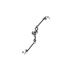 C=CC(=O)CCCCCCCCCCCCOc1ccc(C#CCOc2ccc(OC(=O)C3CCCC(OCCCCCCCCCCCOC(=O)C=C)CCC3)c3ncccc23)cc1